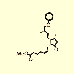 COC(=O)CCC/C=C\C[C@H]1C(=O)C[C@@H](C)[C@@H]1/C=C/[C@@H](C)COc1ccccc1